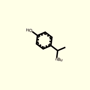 CCCCC(C)c1ccc(O)cc1